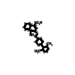 Cc1cccc(C)c1-c1ccc(N=Nc2cc(S(=O)(=O)O)c3ccccc3c2N)cn1